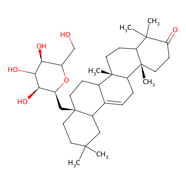 CC1(C)CC[C@]2(C[C@@H]3OC(CO)[C@H](O)C(O)[C@@H]3O)CCC3C(=CCC4[C@@]3(C)CCC3C(C)(C)C(=O)CC[C@@]34C)C2C1